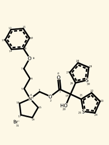 O=C(OC[N+]1(CCCOc2ccccc2)CCCC1)C(O)(c1cccs1)c1cccs1.[Br-]